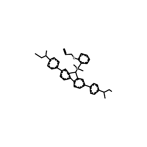 C=CCOc1ccccc1[Si](C)(C)C1c2cc(-c3ccc(C(C)CC)cc3)ccc2-c2ccc(-c3ccc(C(C)CC)cc3)cc21